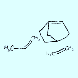 C1=C2CCC(C1)C2.C=C.C=CC